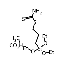 CC(=O)O.CCO[Si](CCCSC(N)=S)(OCC)OCC